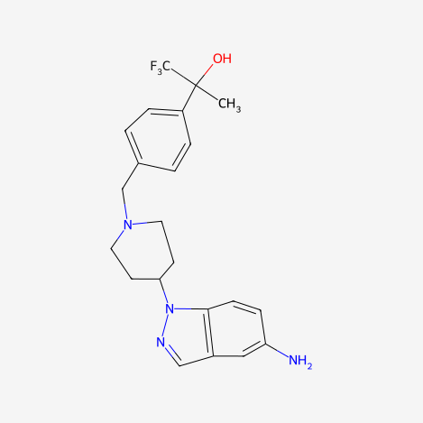 CC(O)(c1ccc(CN2CCC(n3ncc4cc(N)ccc43)CC2)cc1)C(F)(F)F